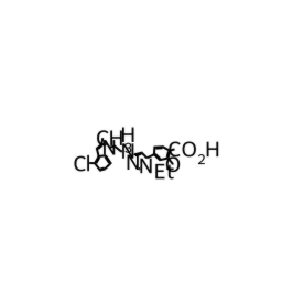 CCOc1cc(-c2cc(NCCn3c(C)cc4c(Cl)cccc43)ncn2)ccc1C(=O)O